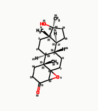 C[C@]12CC[C@H]3[C@@H](CCC45OC4C(=O)CC[C@]35C)[C@@H]1CC[C@@]2(O)C(F)(F)F